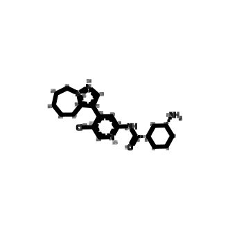 N[C@@H]1CCC[C@H](C(=O)Nc2cc(-c3cnn4c3CCCCC4)c(Cl)cn2)C1